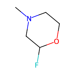 CN1CCOC(F)C1